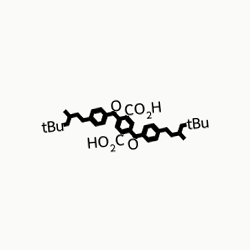 CC(CCc1ccc(C(=O)c2cc(C(=O)O)c(C(=O)c3ccc(CCC(C)CC(C)(C)C)cc3)cc2C(=O)O)cc1)CC(C)(C)C